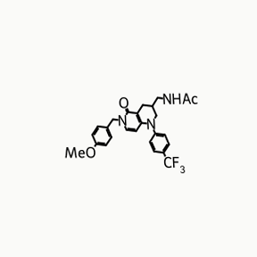 COc1ccc(Cn2ccc3c(c2=O)CC(CNC(C)=O)CN3c2ccc(C(F)(F)F)cc2)cc1